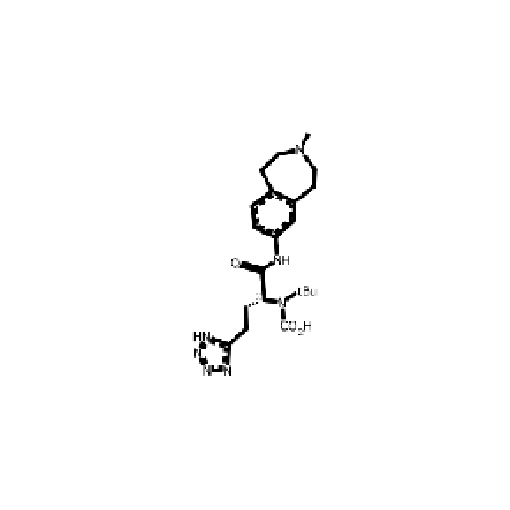 CN1CCc2ccc(NC(=O)[C@@H](CCc3nnn[nH]3)N(C(=O)O)C(C)(C)C)cc2CC1